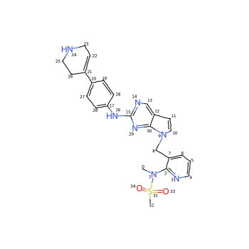 CN(c1ncccc1Cn1ccc2cnc(Nc3ccc(C4=CCNCC4)cc3)nc21)S(C)(=O)=O